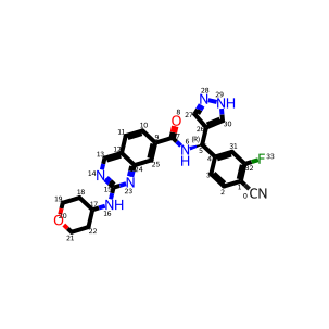 N#Cc1ccc([C@@H](NC(=O)c2ccc3cnc(NC4CCOCC4)nc3c2)c2cn[nH]c2)cc1F